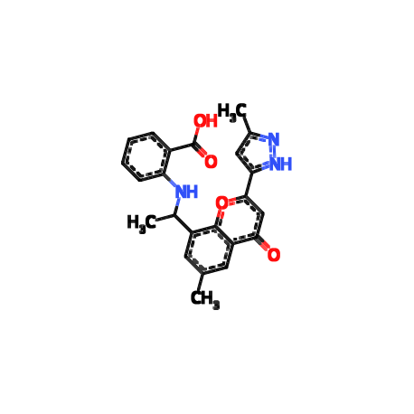 Cc1cc(C(C)Nc2ccccc2C(=O)O)c2oc(-c3cc(C)n[nH]3)cc(=O)c2c1